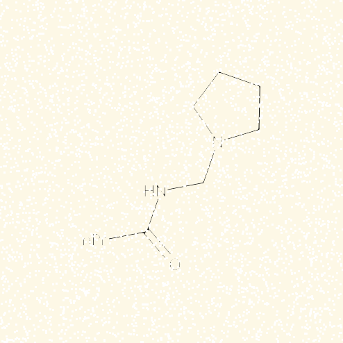 CCCC(=O)NCN1CCCC1